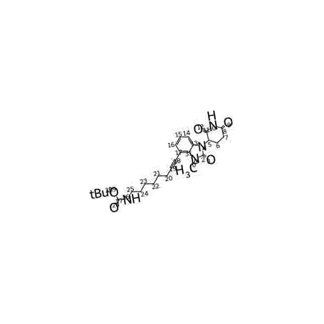 Cn1c(=O)n(C2CCC(=O)NC2=O)c2cccc(C#CCCCCCCNC(=O)OC(C)(C)C)c21